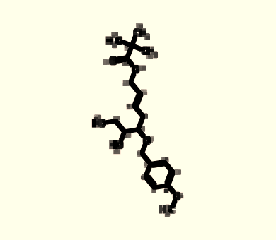 COc1ccc(COC(CC=CCOC(=O)C(C)(C)C)C(O)CO)cc1